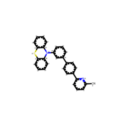 N#Cc1cccc(-c2ccc(-c3cccc(N4c5ccccc5Sc5ccccc54)c3)cc2)n1